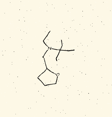 CCN(CC1CCCO1)C(C)(C)C